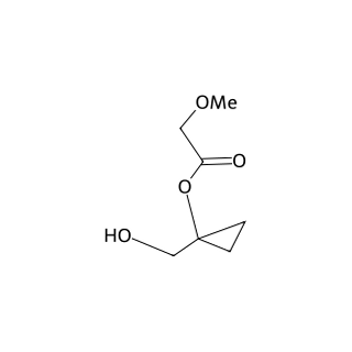 COCC(=O)OC1(CO)CC1